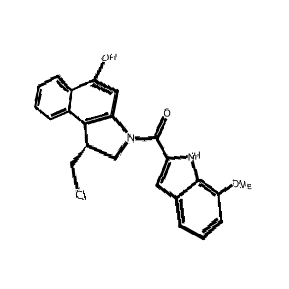 COc1cccc2cc(C(=O)N3C[C@@H](CCl)c4c3cc(O)c3ccccc43)[nH]c12